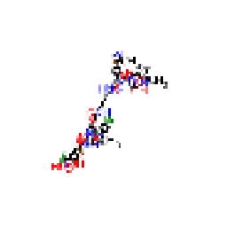 Cc1cc([C@H](C(=O)N2C[C@H](O)C[C@H]2C(=O)N[C@@H](CC(=O)NCCCCCCNC(=O)CO[C@@H]2C[C@@H](C(=O)N(C)c3ccc(Br)cc3)N(C(=O)[C@@H](NC(=O)c3cc4cc(C(F)(F)P(=O)(O)O)ccc4s3)C(C)(C)C)C2)c2ccc(-c3scnc3C)cc2)C(C)C)on1